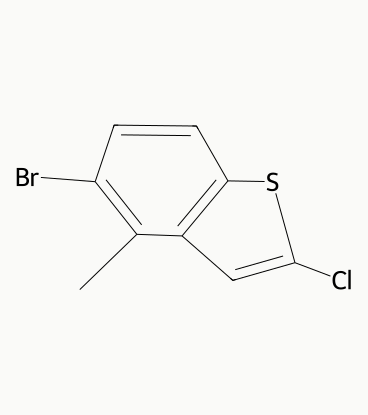 Cc1c(Br)ccc2sc(Cl)cc12